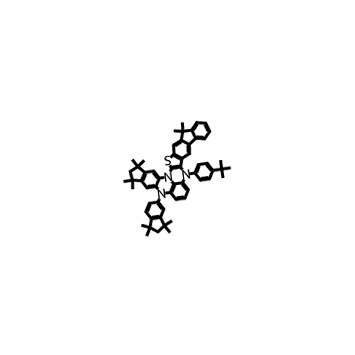 CC(C)(C)c1ccc(N2c3cccc4c3N(c3cc5c(cc3N4c3ccc4c(c3)C(C)(C)CC4(C)C)C(C)(C)CC5(C)C)c3sc4cc5c(cc4c32)-c2ccccc2C5(C)C)cc1